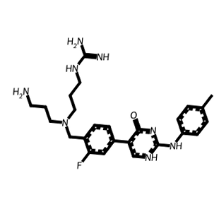 Cc1ccc(Nc2nc(=O)c(-c3ccc(CN(CCCN)CCCNC(=N)N)c(F)c3)c[nH]2)cc1